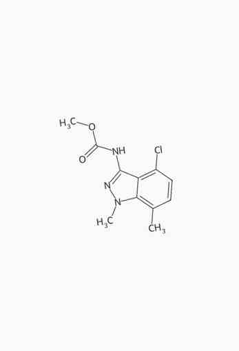 COC(=O)Nc1nn(C)c2c(C)ccc(Cl)c12